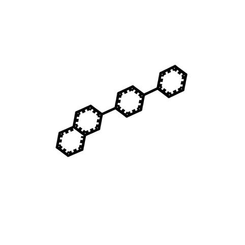 c1ccc(-c2ccc(-c3ccc4ccccc4c3)cc2)cc1